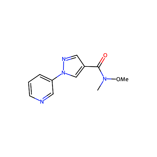 CON(C)C(=O)c1cnn(-c2cccnc2)c1